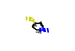 C[C@@H]1C[C@@H](S)CCN1